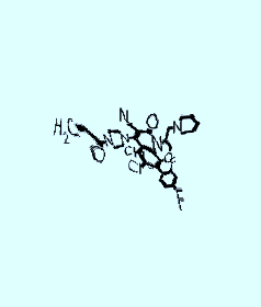 C=CC(=O)N1CCN(c2c(C#N)c(=O)n3c4c(c(-c5ccc(F)cc5F)c(Cl)cc24)OCC3CN2CCCCC2)[C@@H](C)C1